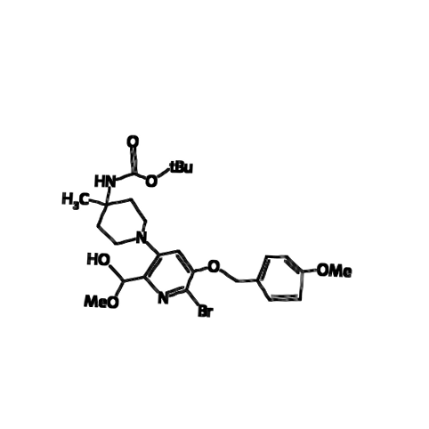 COc1ccc(COc2cc(N3CCC(C)(NC(=O)OC(C)(C)C)CC3)c(C(O)OC)nc2Br)cc1